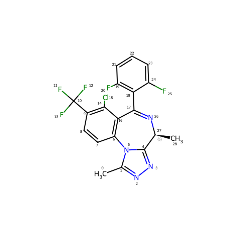 Cc1nnc2n1-c1ccc(C(F)(F)F)c(Cl)c1C(c1c(F)cccc1F)=N[C@H]2C